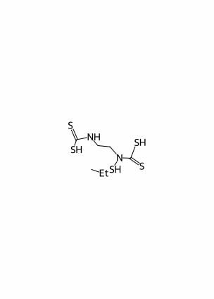 CCC.S=C(S)NCCN(S)C(=S)S